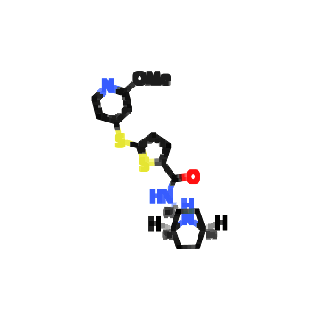 COc1cc(Sc2ccc(C(=O)N[C@@H]3C[C@H]4CC[C@@H]3N4)s2)ccn1